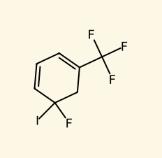 FC1(I)C=CC=C(C(F)(F)F)C1